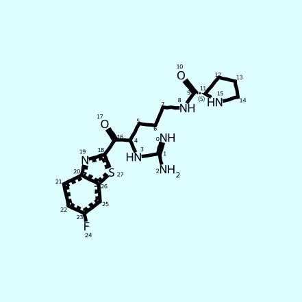 N=C(N)NC(CCCNC(=O)[C@@H]1CCCN1)C(=O)c1nc2ccc(F)cc2s1